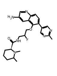 Cc1ncc(-c2ccc3ncc(N)cc3c2OCC(F)CNC(=O)[C@@H]2CCCC(C)N2C)cn1